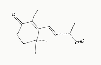 CC1=C(C=CC(C)C=O)C(C)(C)CCC1=O